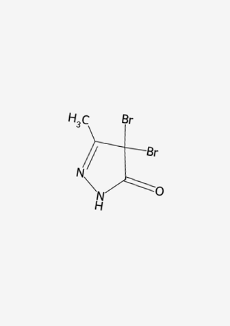 CC1=NNC(=O)C1(Br)Br